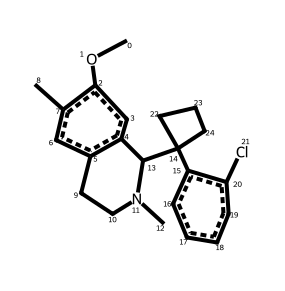 COc1cc2c(cc1C)CCN(C)C2C1(c2ccccc2Cl)CCC1